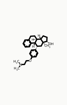 CN(C)CCOc1ccc([C@H]2C[C@]3(C)[C@@H](O)CC[C@H]3[C@@H]3CCc4ccccc4[C@H]32)cc1